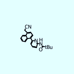 CC(C)(C)C(=O)Nc1cccc(-c2ccc(CC#N)c3ccccc23)n1